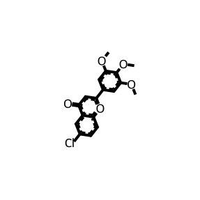 COc1cc(-c2cc(=O)c3cc(Cl)ccc3o2)cc(OC)c1OC